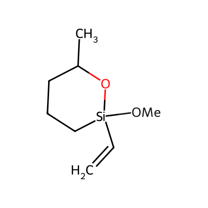 C=C[Si]1(OC)CCCC(C)O1